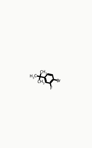 CC(C)(C)c1ccc(Br)c(F)c1